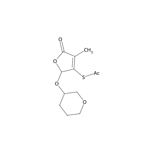 CC(=O)SC1=C(C)C(=O)OC1OC1CCCOC1